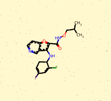 CC(C)CONC(=O)c1oc2ccncc2c1NC1CC=C(I)C=C1F